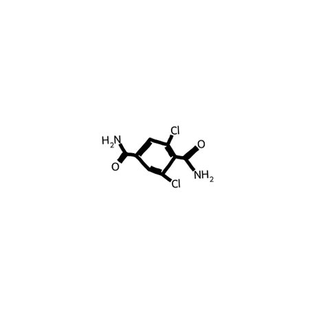 NC(=O)c1cc(Cl)c(C(N)=O)c(Cl)c1